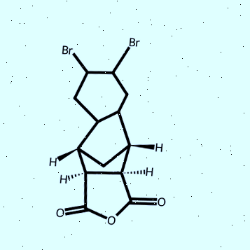 O=C1OC(=O)[C@H]2[C@@H]1[C@H]1C[C@@H]2C2CC(Br)C(Br)CC21